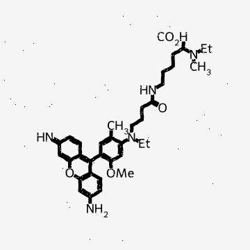 CCN(CCCC(=O)NCCCCC(C(=O)O)N(C)CC)c1cc(OC)c(-c2c3ccc(=N)cc-3oc3cc(N)ccc23)cc1C